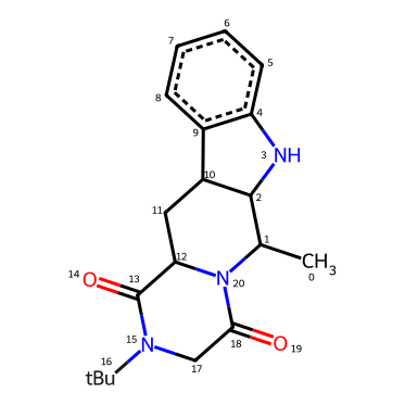 CC1C2Nc3ccccc3C2CC2C(=O)N(C(C)(C)C)CC(=O)N21